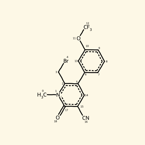 Cn1c(CBr)c(-c2cccc(OC(F)(F)F)c2)cc(C#N)c1=O